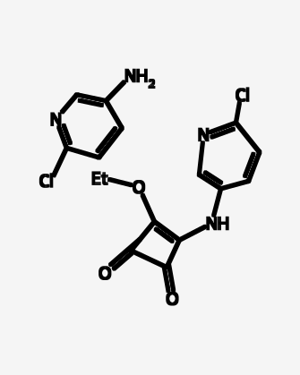 CCOc1c(Nc2ccc(Cl)nc2)c(=O)c1=O.Nc1ccc(Cl)nc1